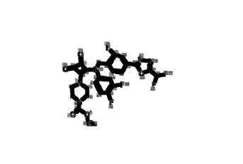 CC(C)(C)OC(=O)N1CCN(c2c(N(Cc3ccc(-c4nnc(C(F)F)o4)cc3F)c3ccc(F)c(F)c3)c(=O)c2=O)CC1